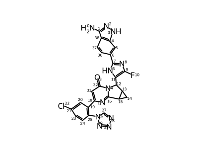 Nc1n[nH]c2cc(-c3nc(F)c(C4C5CC5c5nc(-c6cc(Cl)ccc6-n6cnnn6)cc(=O)n54)[nH]3)ccc12